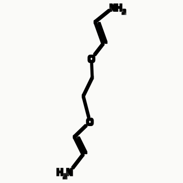 NC=COCCOC=CN